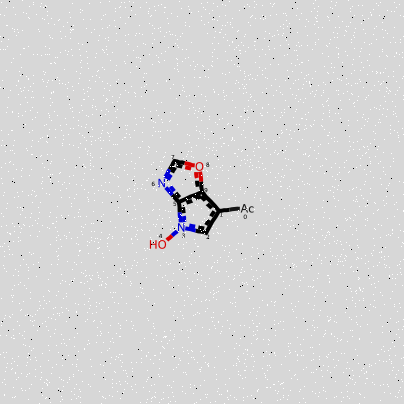 CC(=O)c1cn(O)c2ncoc12